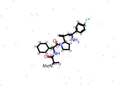 C=C(/C=C(\N)c1ccc(F)cc1)C1CCCN1C(=O)C(NC(=O)C(C)NC)C1CCCCC1